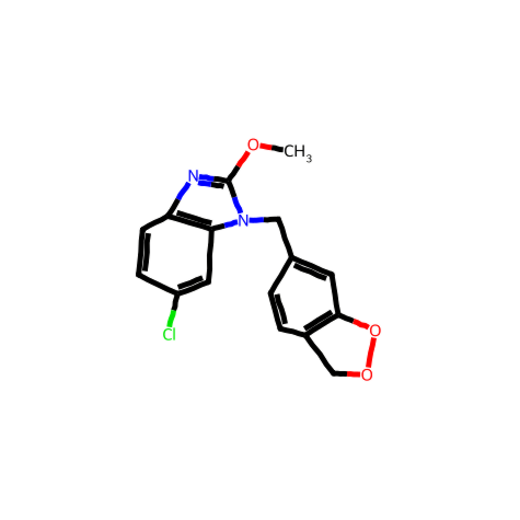 COc1nc2ccc(Cl)cc2n1Cc1ccc2c(c1)OOC2